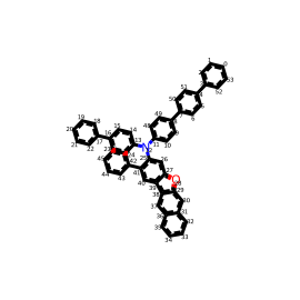 c1ccc(-c2ccc(-c3ccc(N(c4ccc(-c5ccccc5)cc4)c4cc5oc6cc7ccccc7cc6c5cc4-c4ccccc4)cc3)cc2)cc1